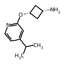 CC(C)c1ccnc(O[C@H]2C[C@@H](N)C2)c1